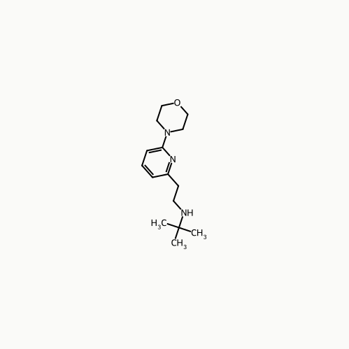 CC(C)(C)NCCc1cccc(N2CCOCC2)n1